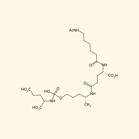 CC(=O)NCCCCCC(=O)N[C@@H](CCC(=O)N[C@H](C)CCCOP(=O)(O)NC(CCC(=O)O)C(=O)O)C(=O)O